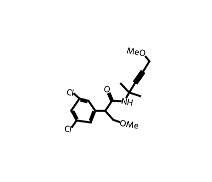 COCC#CC(C)(C)NC(=O)C(COC)c1cc(Cl)cc(Cl)c1